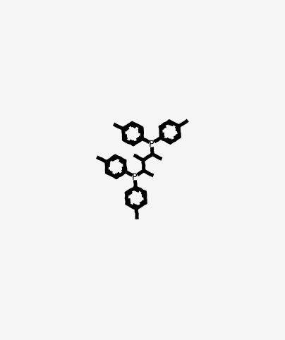 Cc1ccc(P(c2ccc(C)cc2)C(C)C(C)C(C)P(c2ccc(C)cc2)c2ccc(C)cc2)cc1